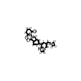 O=C1c2ccc(-c3cc(CN4CCC4)cn4ccnc34)cc2CN1N1C(=O)CCCC1=O